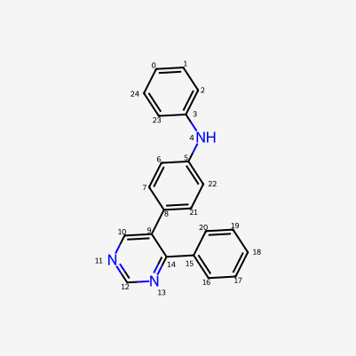 c1ccc(Nc2ccc(-c3cncnc3-c3ccccc3)cc2)cc1